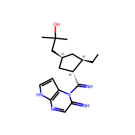 CC[C@@H]1C[C@H](CC(C)(C)O)C[C@H]1C(=N)n1c(=N)cnc2[nH]ccc21